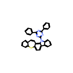 C1=Cc2c(ccc3c4ccccc4n(-c4nc(-c5ccccc5)nc(-c5ccccc5)n4)c23)Sc2ccccc21